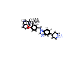 COC1=C/CC/C=C(COc2ccc(Cn3cnc4cc(C5CCNCC5)ccc43)cc2OC)/C=C\1